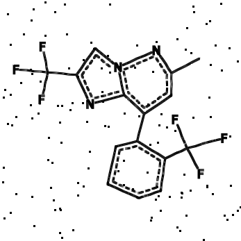 Cc1cc(-c2ccccc2C(F)(F)F)c2nc(C(F)(F)F)cn2n1